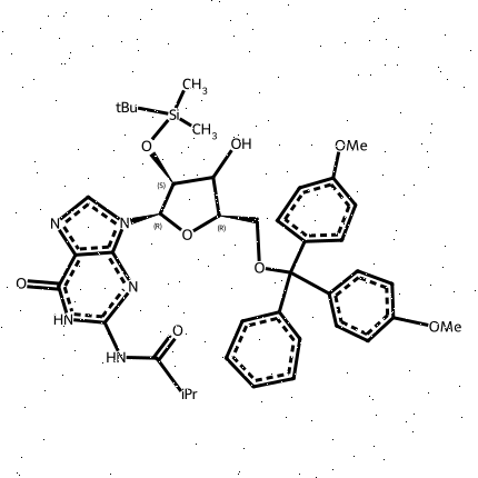 COc1ccc(C(OC[C@H]2O[C@@H](n3cnc4c(=O)[nH]c(NC(=O)C(C)C)nc43)[C@@H](O[Si](C)(C)C(C)(C)C)C2O)(c2ccccc2)c2ccc(OC)cc2)cc1